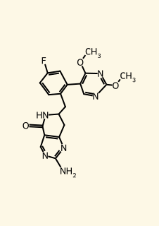 COc1ncc(-c2cc(F)ccc2CC2Cc3nc(N)ncc3C(=O)N2)c(OC)n1